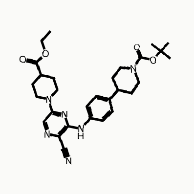 CCOC(=O)C1CCN(c2cnc(C#N)c(Nc3ccc(C4CCN(C(=O)OC(C)(C)C)CC4)cc3)n2)CC1